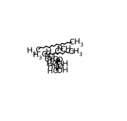 CCCCCCCCC(CCCCC)N(C)C.CCCCCCCCCN(C)C.O=P(O)(O)O.O=P(O)(O)O